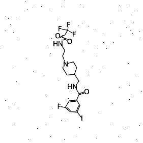 O=C(NCC1CCN(CCNS(=O)(=O)C(F)(F)F)CC1)c1cc(F)cc(I)c1